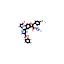 CNC(=O)c1c(-c2ccc(C)cc2)oc2cc(N3CCCC3=O)c(-c3cncc(-c4nc5ccccc5o4)c3)cc12